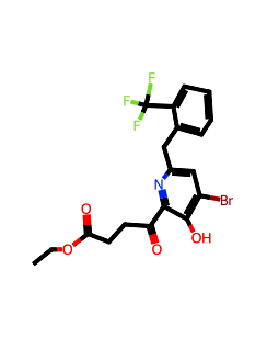 CCOC(=O)CCC(=O)c1nc(Cc2ccccc2C(F)(F)F)cc(Br)c1O